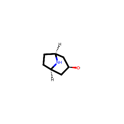 [O][C@H]1C[C@H]2CC[C@@H](C1)N2